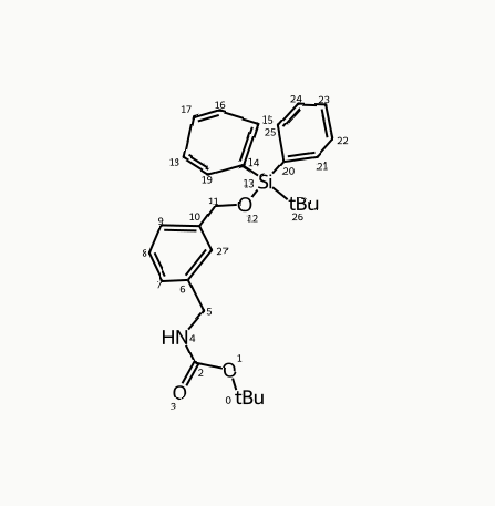 CC(C)(C)OC(=O)NCc1cccc(CO[Si](c2ccccc2)(c2ccccc2)C(C)(C)C)c1